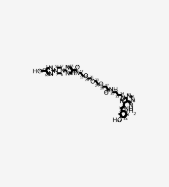 C#Cc1cnc(N2CCN(c3ncc(C(=O)NCCOCCOCCOCCC(=O)NCCCCn4nc(-c5cc6cc(O)ccc6[nH]5)c5c(N)ncnc54)cn3)CC2)nc1